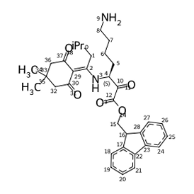 CC(C)CC(N[C@@H](CCCCN)C(=O)C(=O)OCC1c2ccccc2-c2ccccc21)=C1C(=O)CC(C)(C)CC1=O